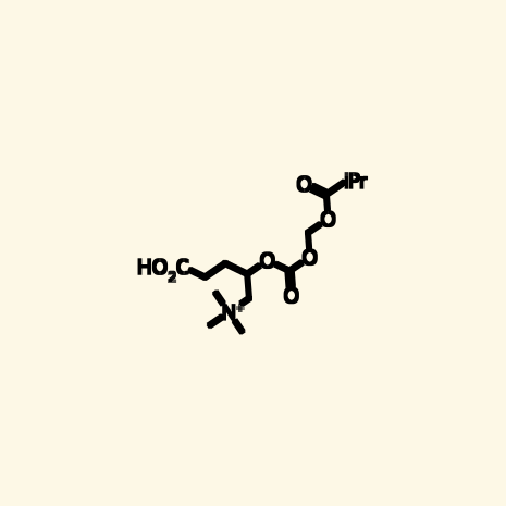 CC(C)C(=O)OCOC(=O)OC(CCC(=O)O)C[N+](C)(C)C